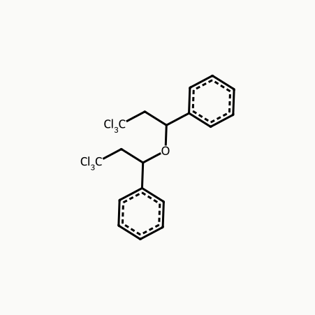 ClC(Cl)(Cl)CC(OC(CC(Cl)(Cl)Cl)c1ccccc1)c1ccccc1